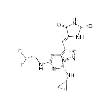 O=C1NC(=O)/C(=C/c2cnn3c(NC4CC4)nc(NCC(F)F)nc23)N1